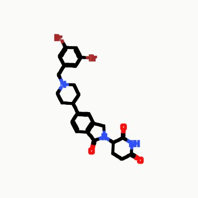 O=C1CCC(N2Cc3cc(C4CCN(Cc5cc(Br)cc(Br)c5)CC4)ccc3C2=O)C(=O)N1